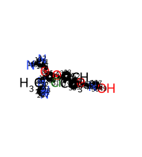 Cc1c(COc2cc(OCc3cncc(C#N)c3)c(CN(C)Cc3cccnn3)cc2Cl)cccc1-c1cccc(OCCCN2CCC(O)C2)c1C